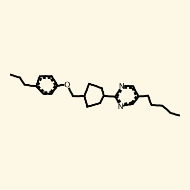 CCCCCc1cnc(C2CCC(COc3ccc(CCC)cc3)CC2)nc1